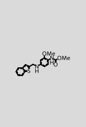 COC(=O)Nc1ccc(NCc2cc3ccccc3s2)cc1OC